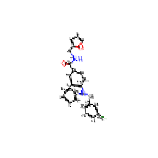 O=C(NCc1ccco1)C1CCc2c(c3ccccc3n2Cc2cccc(F)c2)C1